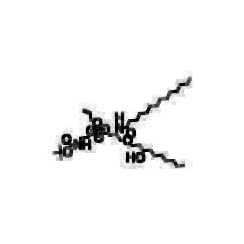 C=CCOP(=O)(OCCNC(=O)OC(C)(C)C)OC[C@H](COCC[C@H](O)CCCCCCC)NC(=O)CCCCCCCCCCCCC